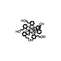 OCCc1ccccc1ON1P(Oc2ccccc2CCO)N=P(Oc2ccccc2CCO)(Oc2ccccc2CCO)N(Oc2ccccc2)P1Oc1ccccc1CCO